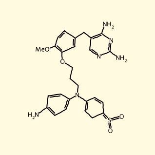 COc1ccc(Cc2cnc(N)nc2N)cc1OCCCN(C1=CCC(=S(=O)=O)C=C1)c1ccc(N)cc1